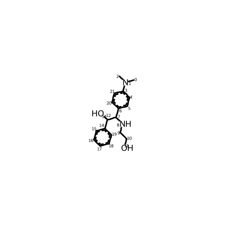 CN(C)c1ccc(C(NCCO)C(O)c2ccccc2)cc1